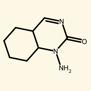 NN1C(=O)N=CC2CCCCC21